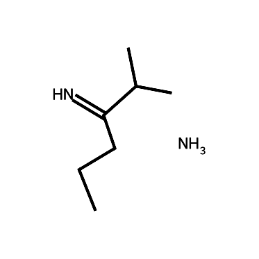 CCCC(=N)C(C)C.N